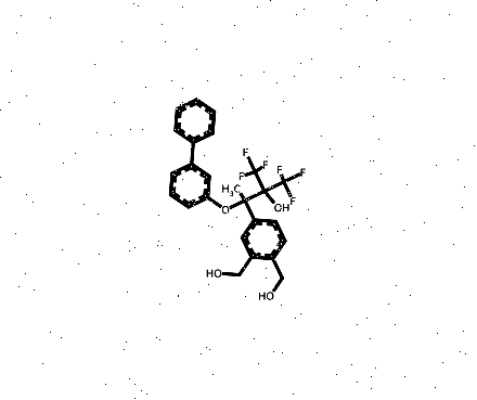 CC(Oc1cccc(-c2ccccc2)c1)(c1ccc(CO)c(CO)c1)C(O)(C(F)(F)F)C(F)(F)F